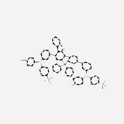 CC(C)(C)c1ccc(N(c2ccc([Si](C)(C)C)cc2)c2cccc(-c3ccc4c(c3)C(c3ccccc3)(c3ccccc3)c3cc(-c5cccc(N(c6ccc(C(C)(C)C)cc6)c6ccc([Si](C)(C)C)cc6)c5)c5c(oc6ccccc65)c3-4)c2)cc1